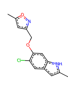 Cc1cc(COc2cc3[nH]c(C(C)C)cc3cc2Cl)no1